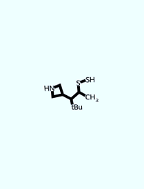 CC(SS)C(C1CNC1)C(C)(C)C